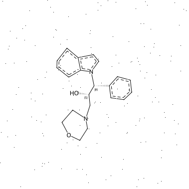 O[C@@H](CN1CCOCC1)[C@@H](c1ccccc1)n1ccc2ccccc21